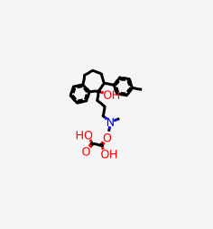 Cc1ccc(C2CCCc3ccccc3C2(O)CCCN(C)C)cc1.O=C(O)C(=O)O